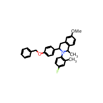 COc1ccc2c(c1)CC(c1ccc(OCc3ccccc3)cc1)N(c1ccc(F)cc1C)C2C